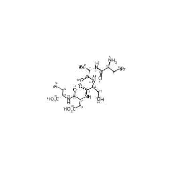 CC[C@H](C)[C@H](NC(=O)[C@@H](N)CC(C)C)C(=O)N[C@@H](CO)C(=O)N[C@@H](CC(=O)O)C(=O)N[C@@H](CC(C)C)C(=O)O